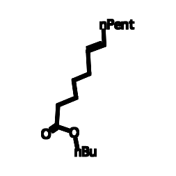 CCCCCC=CCCCCC(=O)OCCCC